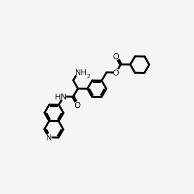 NCC(C(=O)Nc1ccc2cnccc2c1)c1cccc(COC(=O)C2CCCCC2)c1